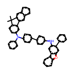 CC1(C)c2ccc(N(c3ccccc3)c3ccc(-c4ccc(Nc5cc6c(cc5-c5ccccc5)oc5ccccc56)cc4)cc3)cc2-c2cc3ccccc3cc21